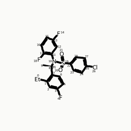 [CH2]Cc1cc(F)ccc1[C@@H](C)N(c1cc(F)ccc1F)S(=O)(=O)c1ccc(Cl)cc1